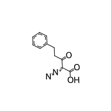 [N-]=[N+]=C(C(=O)O)C(=O)CCc1ccccc1